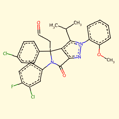 COc1ccccc1-n1nc2c(c1C(C)C)C(CC=O)(c1ccc(Cl)cc1)N(c1ccc(F)c(Cl)c1)C2=O